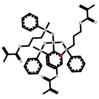 C=C(C)C(=O)OCCC[Si](C)(O[Si](O[Si](C)(CCCOC(=O)C(=C)C)c1ccccc1)(O[Si](C)(CCCOC(=O)C(=C)C)c1ccccc1)c1ccccc1)c1ccccc1